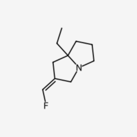 CCC12CCCN1C/C(=C\F)C2